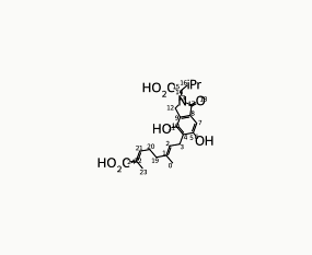 C/C(=C\Cc1c(O)cc2c(c1O)CN([C@H](C(=O)O)C(C)C)C2=O)CC/C=C(\C)C(=O)O